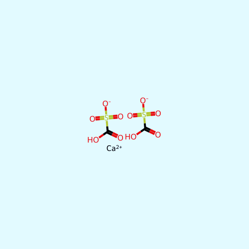 O=C(O)S(=O)(=O)[O-].O=C(O)S(=O)(=O)[O-].[Ca+2]